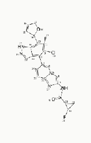 O=C(Nc1cn2cc(-c3c(Cl)c(F)c(C4C=CCO4)c4[nH]ncc34)ncc2n1)C1CC1F